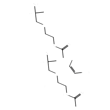 CC(=N)NCCSC[C@](C)(N)C(=O)O.CC(=N)NCCSC[C@](C)(N)C(=O)O.Cl.O=C(O)/C=C\C(=O)O